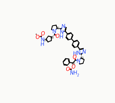 COC(=O)N[C@H]1CC[C@@H](C(=O)N2CCC[C@H]2c2ncc(-c3ccc(-c4ccc(-c5cnc([C@@H]6CCCN6C(=O)[C@H](OC(N)=O)c6ccccc6)[nH]5)cc4)cc3)[nH]2)C1